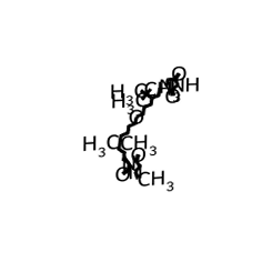 CCN1CC(=O)N(CCCC(C)(C)CCCCOCCCC(CCN2CC(=O)NC2=O)C(C)(C)C)C1=O